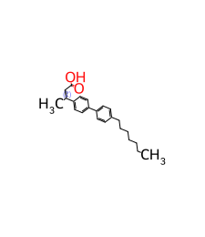 CCCCCCCc1ccc(-c2ccc(/C(C)=C\C(=O)O)cc2)cc1